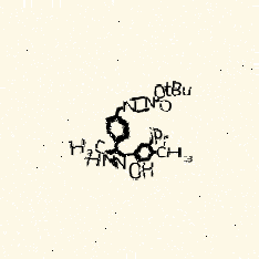 Cc1cc(O)c(-c2n[nH]c(C)c2-c2ccc(CN3CCN(C(=O)OC(C)(C)C)CC3)cc2)cc1C(C)C